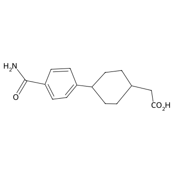 NC(=O)c1ccc(C2CCC(CC(=O)O)CC2)cc1